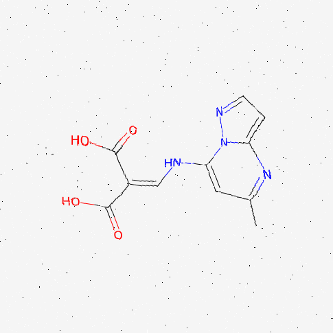 Cc1cc(NC=C(C(=O)O)C(=O)O)n2nccc2n1